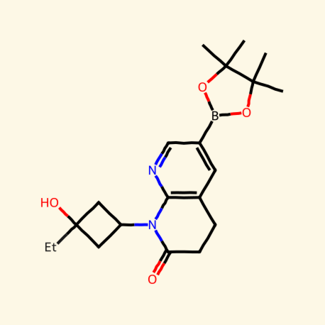 CCC1(O)CC(N2C(=O)CCc3cc(B4OC(C)(C)C(C)(C)O4)cnc32)C1